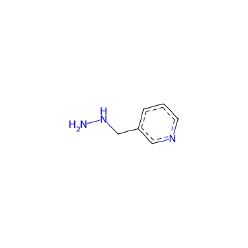 NNCc1cccnc1